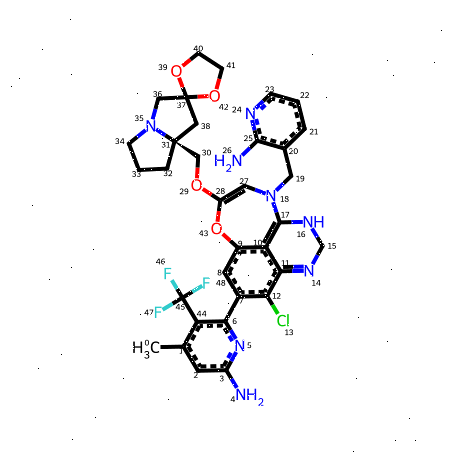 Cc1cc(N)nc(-c2cc3c4c(c2Cl)=NCNC=4N(Cc2cccnc2N)C=C(OC[C@@]24CCCN2CC2(C4)OCCO2)O3)c1C(F)(F)F